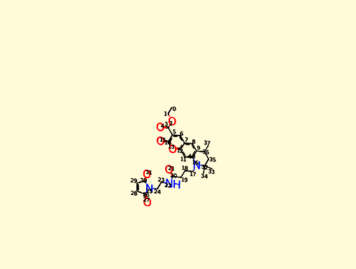 CCOC(=O)c1cc2cc3c(cc2oc1=O)N(CCCC(=O)NCCN1C(=O)C=CC1=O)C(C)(C)CC3C